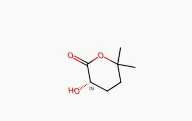 CC1(C)CC[C@H](O)C(=O)O1